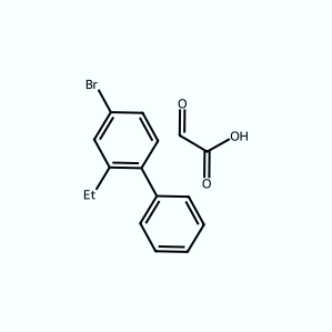 CCc1cc(Br)ccc1-c1ccccc1.O=CC(=O)O